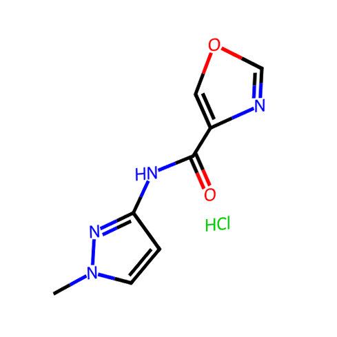 Cl.Cn1ccc(NC(=O)c2cocn2)n1